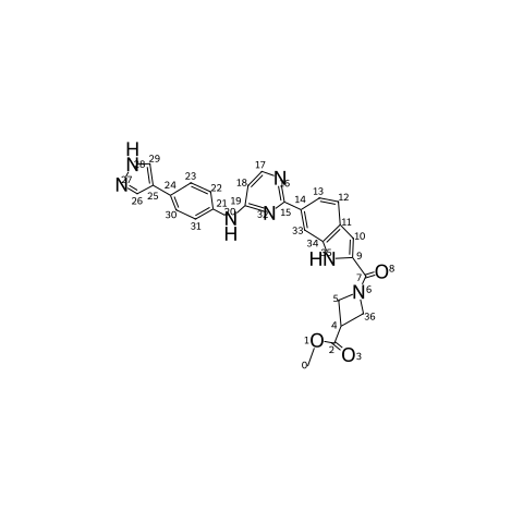 COC(=O)C1CN(C(=O)c2cc3ccc(-c4nccc(Nc5ccc(-c6cn[nH]c6)cc5)n4)cc3[nH]2)C1